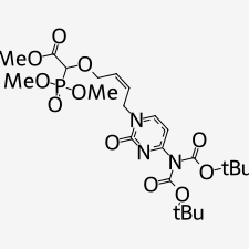 COC(=O)C(OC/C=C\Cn1ccc(N(C(=O)OC(C)(C)C)C(=O)OC(C)(C)C)nc1=O)P(=O)(OC)OC